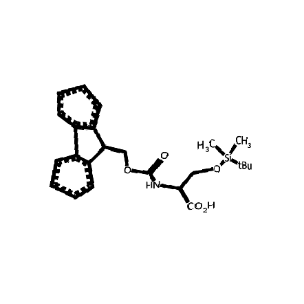 CC(C)(C)[Si](C)(C)OCC(NC(=O)OCC1c2ccccc2-c2ccccc21)C(=O)O